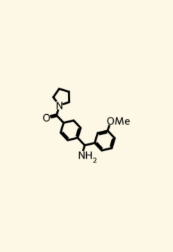 COc1cccc(C(N)C2=CCC(C(=O)N3CCCC3)C=C2)c1